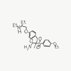 CCNC(CC)COc1ccc(CC(C)(C(N)=O)S(=O)(=O)c2ccc(OCC)cc2)cc1